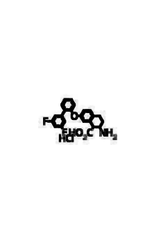 Cl.NC1CCc2ccc(Oc3ccccc3-c3cc(F)cc(F)c3)cc2C1C(=O)O